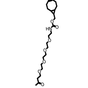 CC(=O)CCOCCOCCOCCOCCNC(=O)OCC1C2CCC#CCCC21